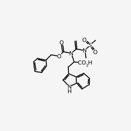 C=C(N(C(=O)OCc1ccccc1)C(Cc1c[nH]c2ccccc12)C(=O)O)N(C)S(C)(=O)=O